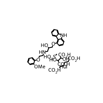 COc1ccccc1OCCNCC(O)COc1cccc2[nH]c3ccccc3c12.CS(=O)(=O)O.Cl.O=C(O)C(O)C(O)C(=O)O.O=C(O)CCCCC(=O)O